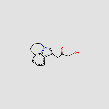 O=C(CO)Cc1cn2c3c(cccc13)CCC2